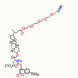 COc1ccc2c(CC(=O)NC(CC(=O)O)C(=O)O[C@@H]3CC[C@@]4(C)[C@H](CC[C@@H]5[C@@H]4CC[C@]4(C)C(C(C)CCC(=O)OCCOCCOCCOCCOCCN=[N+]=[N-])CC[C@@H]54)C3)cc(=O)oc2c1